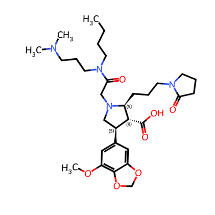 CCCCN(CCCN(C)C)C(=O)CN1C[C@H](c2cc(OC)c3c(c2)OCO3)[C@@H](C(=O)O)[C@@H]1CCCN1CCCC1=O